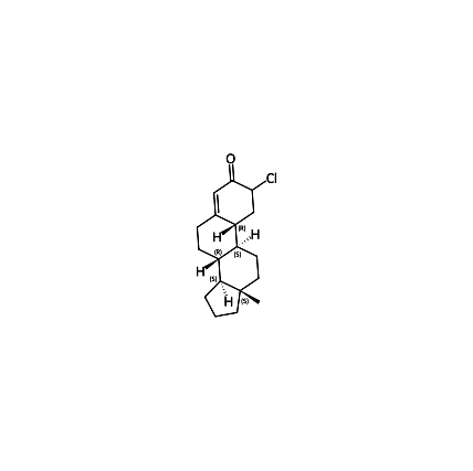 C[C@@]12CCC[C@H]1[C@@H]1CCC3=CC(=O)C(Cl)C[C@@H]3[C@H]1CC2